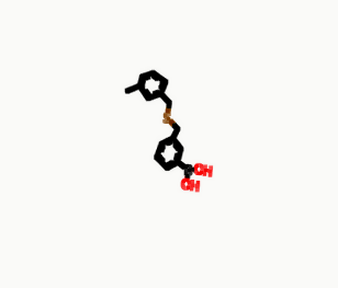 Cc1cccc(CSCc2cccc(B(O)O)c2)c1